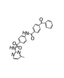 Cc1ccnc(NS(=O)(=O)c2ccc(NC(=O)c3ccc(C(=O)c4ccccc4)cc3)cc2)n1